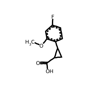 COc1cc(F)ccc1C1CC1C(=O)O